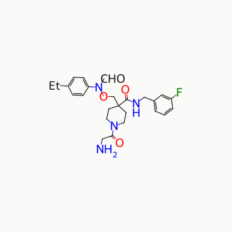 CCc1ccc(N(C=O)OCC2(C(=O)NCc3cccc(F)c3)CCN(C(=O)CN)CC2)cc1